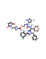 C[C@@H](COC(=O)N1CC(CN2C(=O)C=CC2=O)C1)NC(=O)N(C[C@@H]1CNC[C@@H]1F)[C@@H](c1nc(-c2cc(F)ccc2F)cn1Cc1ccccc1)C1CCOCC1